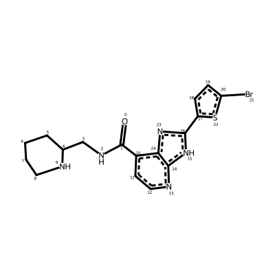 O=C(NCC1CCCCN1)c1ccnc2[nH]c(-c3ccc(Br)s3)nc12